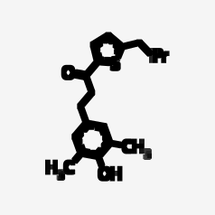 Cc1cc(CCC(=O)c2ccc(CC(C)C)s2)cc(C)c1O